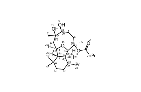 CCCC(=O)O[C@]1(C)CC[C@H](O)[C@@](C)(O)C[C@H]2O[C@@H]1[C@H]1[C@@H]2C(C)(C)CC[C@@H]1C(C)C